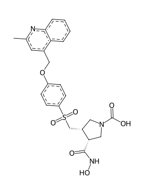 Cc1cc(COc2ccc(S(=O)(=O)C[C@@H]3CN(C(=O)O)C[C@@H]3C(=O)NO)cc2)c2ccccc2n1